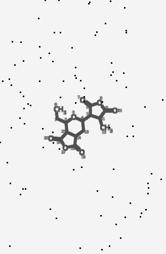 CCC1OC(C2C(=O)OC(=O)C2C)CC2C(=O)OC(=O)C12